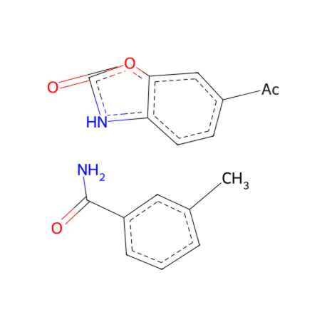 CC(=O)c1ccc2[nH]c(=O)oc2c1.Cc1cccc(C(N)=O)c1